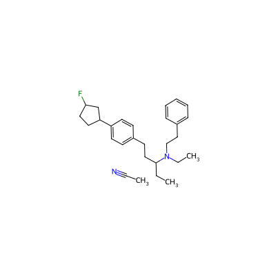 CC#N.CCC(CCc1ccc(C2CCC(F)C2)cc1)N(CC)CCc1ccccc1